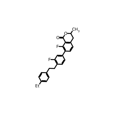 CCc1ccc(CCc2ccc(-c3ccc4c(c3F)C(=O)OC(C)C4)cc2F)cc1